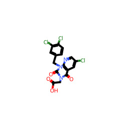 O=C(O)Cn1c(=O)c2cc(Cl)cnc2n(Cc2ccc(Cl)c(Cl)c2)c1=O